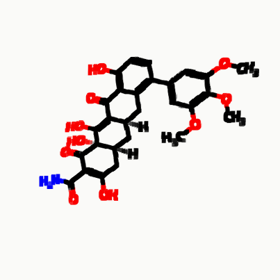 COc1cc(-c2ccc(O)c3c2C[C@H]2C[C@H]4CC(O)=C(C(N)=O)C(=O)[C@@]4(O)C(O)=C2C3=O)cc(OC)c1OC